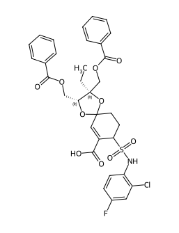 CC[C@]1(COC(=O)c2ccccc2)OC2(C=C(C(=O)O)C(S(=O)(=O)Nc3ccc(F)cc3Cl)CC2)O[C@@H]1COC(=O)c1ccccc1